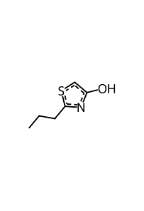 CCCc1nc(O)cs1